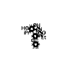 CCNC(=O)c1nnc(-c2cc(C(C)C)c(O)cc2O)n1-c1ccc(Oc2cc[c]cc2)cc1